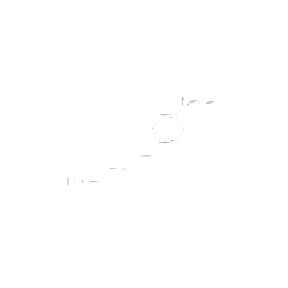 CCCCCCc1ccc(N=C=S)cc1